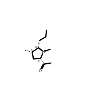 CCC[C@H]1[C@@H](C)C[C@@H](C(=O)I)N1C